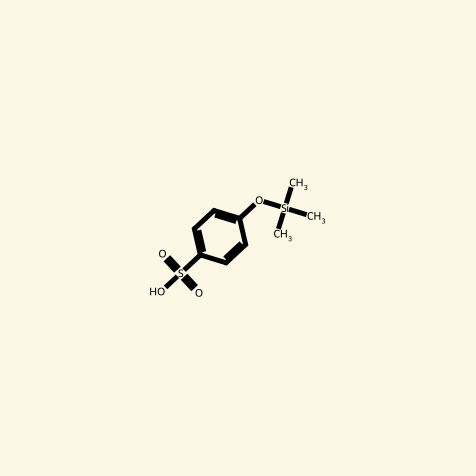 C[Si](C)(C)Oc1ccc(S(=O)(=O)O)cc1